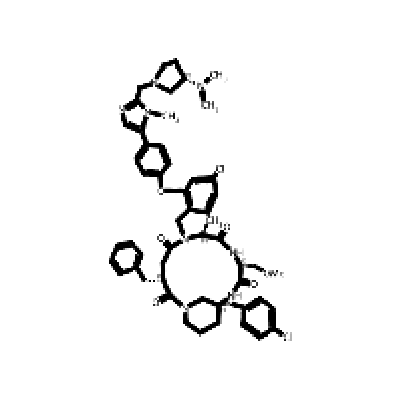 COC[C@@H]1NC(=O)[C@H](C)N(Cc2ccc(Cl)cc2Oc2ccc(-c3cnc(CN4CC[C@H](N(C)C)C4)n3C)cc2)C(=O)C[C@@H](Cc2ccccc2)C(=O)N2CCC[C@@](Cc3ccc(Cl)cc3)(C2)NC1=O